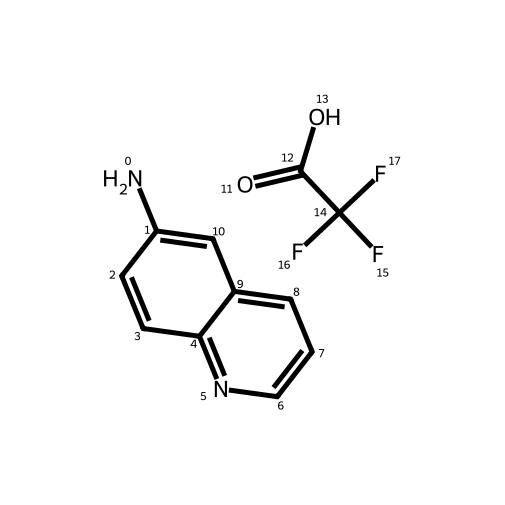 Nc1ccc2ncccc2c1.O=C(O)C(F)(F)F